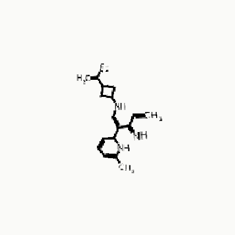 C=CC(=N)/C(=C\NC1CC(C(=C)CC)C1)C1C=CC=C(C)N1